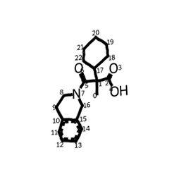 CC(C(=O)O)(C(=O)N1CCc2ccccc2C1)C1CCCCC1